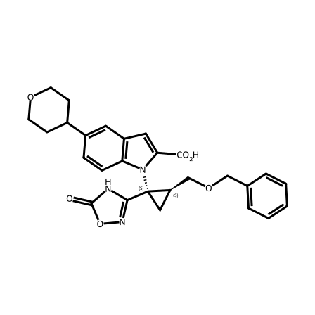 O=C(O)c1cc2cc(C3CCOCC3)ccc2n1[C@@]1(c2noc(=O)[nH]2)C[C@@H]1COCc1ccccc1